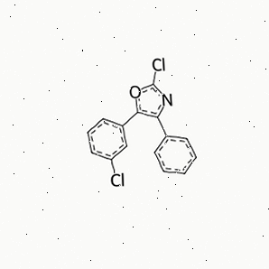 Clc1cccc(-c2oc(Cl)nc2-c2ccccc2)c1